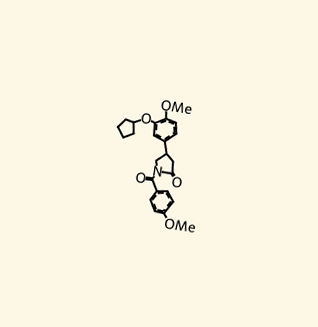 COc1ccc(C(=O)N2CC(c3ccc(OC)c(OC4CCCC4)c3)CC2=O)cc1